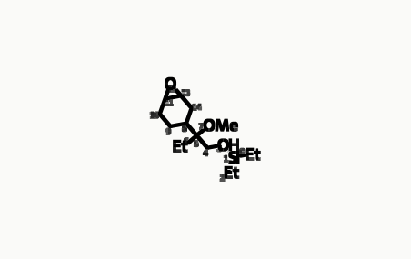 CC[SiH](CC)OCC(CC)(OC)C1CCC2OC2C1